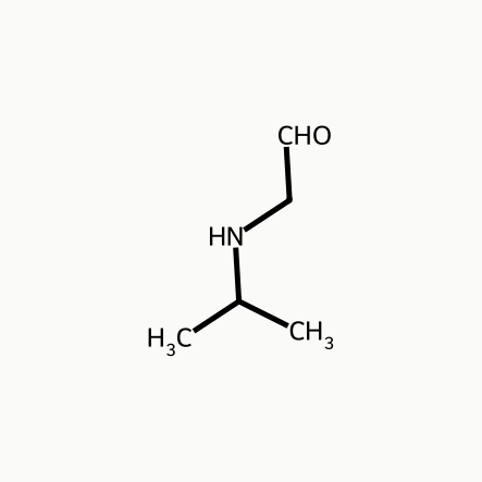 CC(C)NCC=O